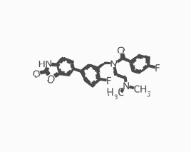 CN(C)CCN(Cc1cc(-c2ccc3[nH]c(=O)oc3c2)ccc1F)C(=O)c1ccc(F)cc1